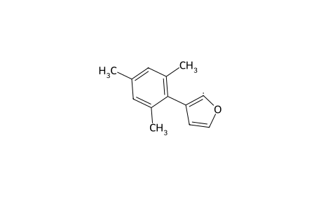 Cc1cc(C)c(-c2[c]occ2)c(C)c1